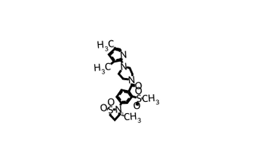 Cc1cnc(N2CCN(C(=O)c3ccc(N4[C@H](C)CCS4(=O)=O)cc3S(C)(=O)=O)CC2)c(C)c1